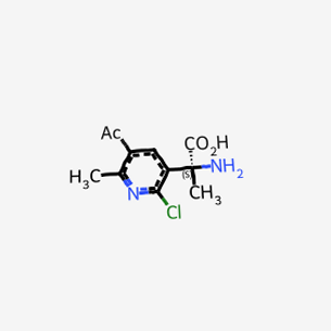 CC(=O)c1cc([C@](C)(N)C(=O)O)c(Cl)nc1C